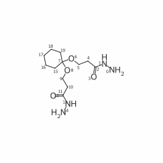 NNC(=O)CCOC1(OCCC(=O)NN)CCCCC1